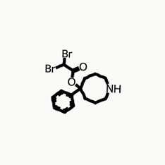 O=C(OC1(c2ccccc2)CCCNCCC1)C(Br)Br